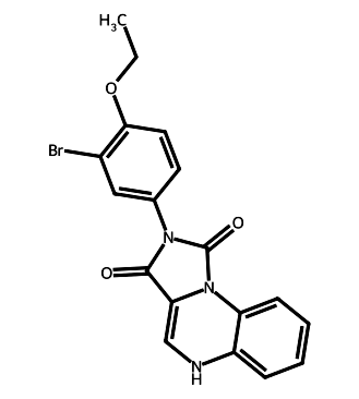 CCOc1ccc(-n2c(=O)c3c[nH]c4ccccc4n-3c2=O)cc1Br